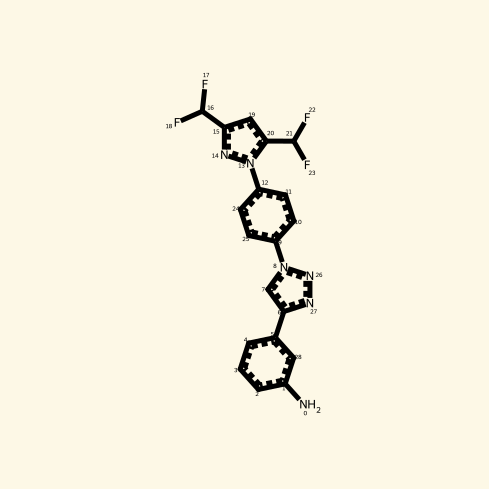 Nc1cccc(-c2cn(-c3ccc(-n4nc(C(F)F)cc4C(F)F)cc3)nn2)c1